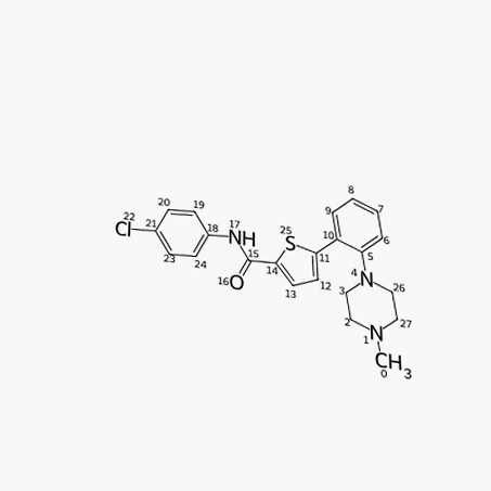 CN1CCN(c2ccccc2-c2ccc(C(=O)Nc3ccc(Cl)cc3)s2)CC1